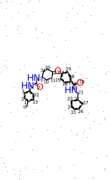 Cc1ccc(NC(=O)N[C@H]2CC[C@H](Oc3ccc(C(=O)NCc4ccccc4)cc3)CC2)cc1